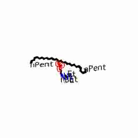 CCCCC/C=C\C/C=C\CCCCCCCCC(CCCCCCCC/C=C\C/C=C\CCCCC)OC(=O)OCCN(CCCC)CCN(CC)CC